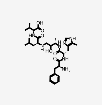 Cc1[nH]cnc1C[C@H](NC(=O)[C@@H](N)Cc1ccccc1)C(=O)N[C@@H](C)C(O)CN[C@@H](CC(C)C)C(=O)N[C@H](C(=O)O)C(C)C